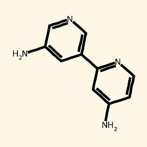 Nc1cncc(-c2cc(N)ccn2)c1